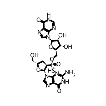 Nc1nc2c(ncn2[C@@H]2O[C@H](CO)C[C@H]2[P@](=O)(S)OC[C@H]2O[C@@H](n3cnc4c(=O)[nH]cnc43)[C@H](O)[C@@H]2O)c(=O)[nH]1